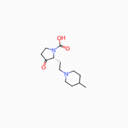 CC1CCN(CC[C@@H]2C(=O)CCN2C(=O)O)CC1